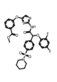 COC(=O)c1cccc(Oc2cnc(NC(=O)C(Oc3ccc(F)cc3F)c3ccc(S(=O)(=O)N4CCCCC4)cc3)s2)c1